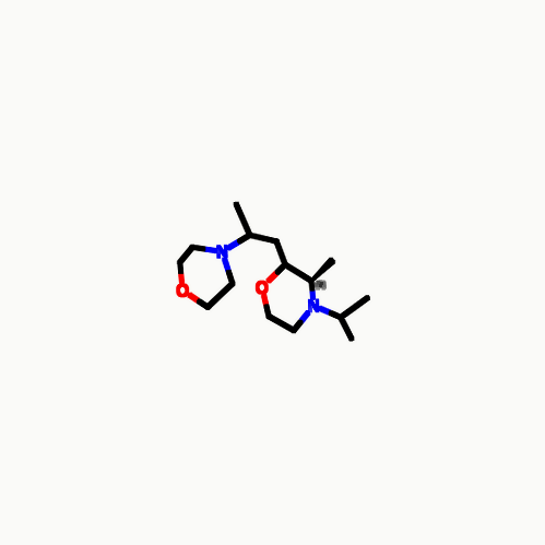 CC(CC1OCCN(C(C)C)[C@@H]1C)N1CCOCC1